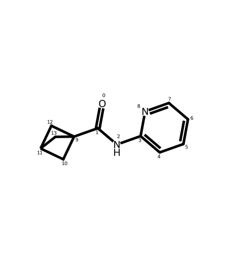 O=C(Nc1ccccn1)C12CC(C1)C2